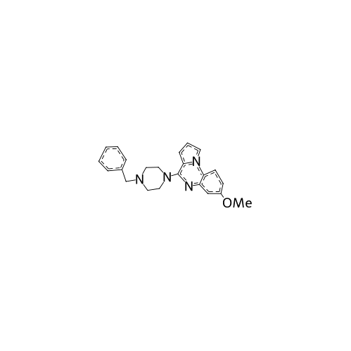 COc1ccc2c(c1)nc(N1CCN(Cc3ccccc3)CC1)c1cccn12